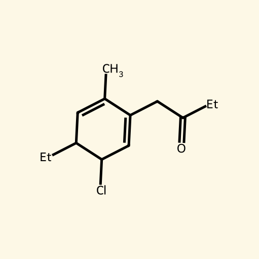 CCC(=O)CC1=CC(Cl)C(CC)C=C1C